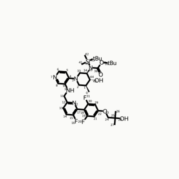 C[C@H]1CN(c2ccncc2NCc2ccc(F)c(-c3c(F)cc(OCC(C)(C)O)cc3F)n2)C[C@@H](N(C(=O)OC(C)(C)C)[Si](C)(C)C(C)(C)C)[C@@H]1O